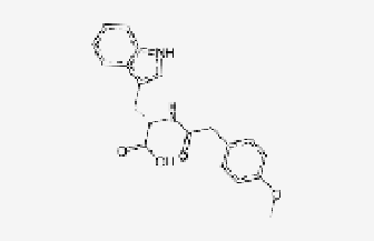 COc1ccc(CC(=O)N[C@@H](Cc2c[nH]c3ccccc23)C(=O)O)cc1